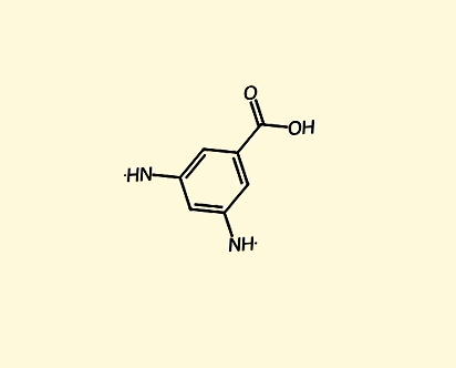 [NH]c1cc([NH])cc(C(=O)O)c1